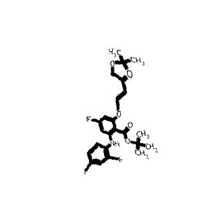 CC(C)(C)OC(=O)c1c(Nc2ccc(I)cc2F)cc(F)cc1OCCC1COC(C)(C)O1